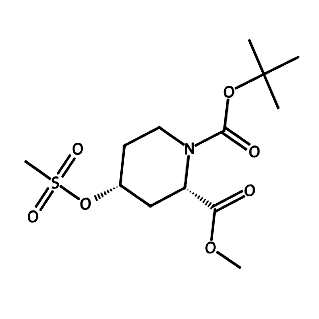 COC(=O)[C@@H]1C[C@H](OS(C)(=O)=O)CCN1C(=O)OC(C)(C)C